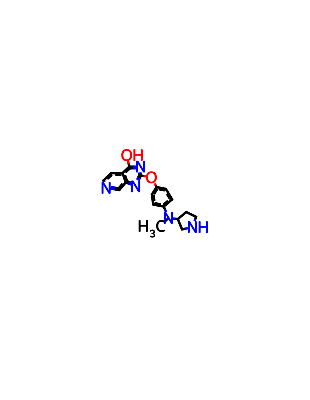 CN(c1ccc(Oc2nc(O)c3ccncc3n2)cc1)C1CCNC1